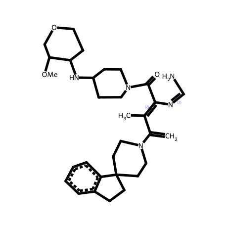 C=C(/C(C)=C(\N=C/N)C(=O)N1CCC(NC2CCOCC2OC)CC1)N1CCC2(CCc3ccccc32)CC1